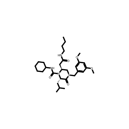 CCCCNC(=O)C[C@H]1CN(Cc2cc(OC)cc(OC)c2)C(=O)[C@H](CC(C)C)N1C(=O)NC1CCCCC1